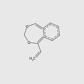 C=CC1=c2ccccc2=COCO1